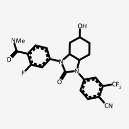 CNC(=O)c1ccc(N2C(=O)N(c3ccc(C#N)c(C(F)(F)F)c3)C3CCC(O)CC32)cc1F